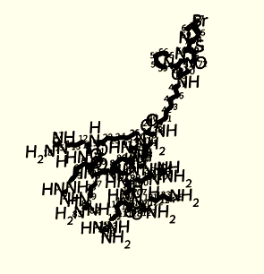 N=C(N)NCCCC(NC(=O)[C@@H](CCCNC(=N)N)NC(=O)CCCCCNC(=O)[C@@H](CCCNC(=N)N)NC(=O)CCCCCCNC(=O)Cn1c(CN2CCCCC2)nc2c(sc3cc(Br)cnc32)c1=O)C(=O)N[C@H](CCCNC(=N)N)C(=O)NC(CCCNC(=N)N)C(=O)N[C@H](CCCNC(=N)N)C(=O)NC(CCCNC(=N)N)C(=O)N[C@H](CCCCN)C(N)=O